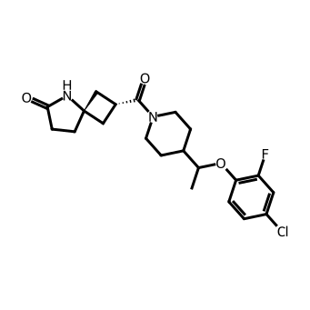 CC(Oc1ccc(Cl)cc1F)C1CCN(C(=O)[C@H]2C[C@]3(CCC(=O)N3)C2)CC1